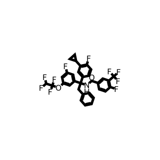 O=C(NC(Cc1ccccc1)(c1cc(F)cc(OC(F)(F)C(F)F)c1)c1ccc(F)c(C2CC2)c1)c1ccc(F)c(C(F)(F)F)c1